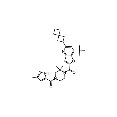 Cc1cc(C(=O)N2CCN(C(=O)c3cc4nc(C5CC6(CCC6)C5)cc(C(C)(C)C)c4o3)C(C)(C)C2)[nH]n1